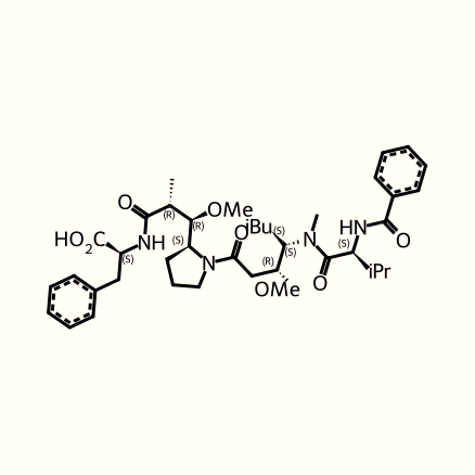 CC[C@H](C)[C@@H]([C@@H](CC(=O)N1CCC[C@H]1[C@H](OC)[C@@H](C)C(=O)N[C@@H](Cc1ccccc1)C(=O)O)OC)N(C)C(=O)[C@@H](NC(=O)c1ccccc1)C(C)C